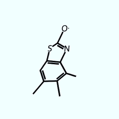 Cc1cc2sc([O])nc2c(C)c1C